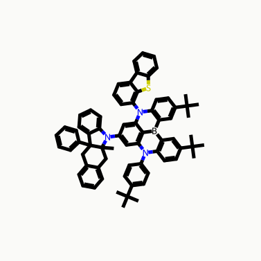 CC(C)(C)c1ccc(N2c3ccc(C(C)(C)C)cc3B3c4cc(C(C)(C)C)ccc4N(c4cccc5c4sc4ccccc45)c4cc(N5c6ccccc6C6(c7ccccc7)Cc7ccccc7CC56C)cc2c43)cc1